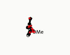 COc1ccc(C2(c3ccc(N4CCOCC4)cc3)C=Cc3c4c(c5ccccc5c3O2)-c2ccc(C#Cc3ccccc3)cc2C4(C)C)cc1